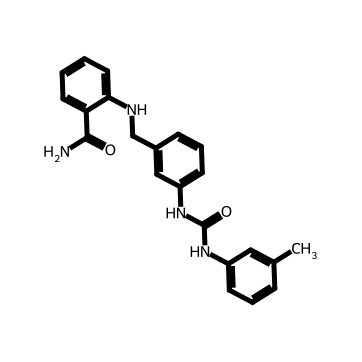 Cc1cccc(NC(=O)Nc2cccc(CNc3ccccc3C(N)=O)c2)c1